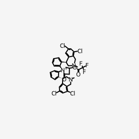 CN1Cc2c(Cl)cc(Cl)cc2[C@H](c2ccccc2[N+]2(c3ccccc3[C@@H]3CN(C)Cc4c(Cl)cc(Cl)cc43)CC(OC(=O)C(F)(F)F)CC2=O)C1